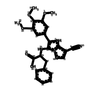 COc1cc(-c2[nH]c3c(C#N)cnn3c2NC(Cc2ccccc2)C(=O)O)cc(OC)c1OC